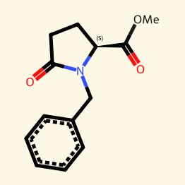 COC(=O)[C@@H]1CCC(=O)N1Cc1ccccc1